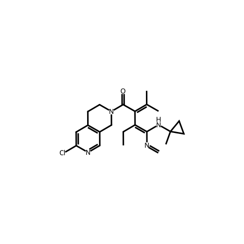 C=N/C(NC1(C)CC1)=C(\CC)C(C(=O)N1CCc2cc(Cl)ncc2C1)=C(C)C